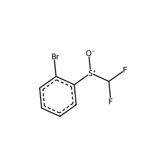 [O-][S+](c1ccccc1Br)C(F)F